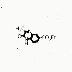 CCOC(=O)c1ccc2[nH]c(=O)c(C)nc2c1